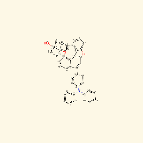 Bc1cccc2oc3cc(C4C=CC(N(c5ccccc5)c5ccccc5)=CC4)c4cccc(OC(C)(C)C(C)(C)O)c4c3c12